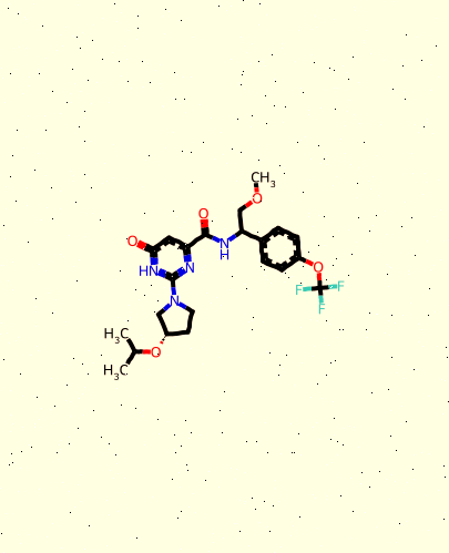 COCC(NC(=O)c1cc(=O)[nH]c(N2CC[C@H](OC(C)C)C2)n1)c1ccc(OC(F)(F)F)cc1